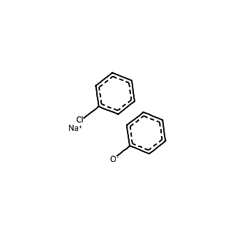 Clc1ccccc1.[Na+].[O-]c1ccccc1